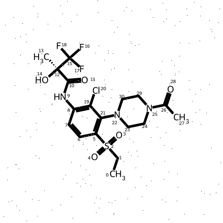 CCS(=O)(=O)c1ccc(NC(=O)[C@@](C)(O)C(F)(F)F)c(Cl)c1N1CCN(C(C)=O)CC1